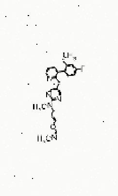 CCc1cc(F)ccc1-c1cccnc1Cc1cnc(N(C)C/C=C/O/C=N\C)nc1